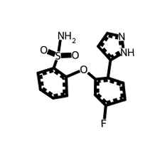 NS(=O)(=O)c1ccccc1Oc1cc(F)ccc1-c1ccn[nH]1